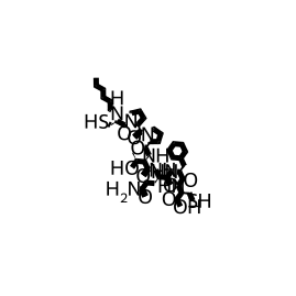 CCCCCCN[C@@H](CS)C(=O)N1CCC[C@H]1C(=O)N1CCC[C@H]1C(=O)N[C@H](C(=O)N[C@@H](CCC(N)=O)C(=O)N[C@@H](CC1CCCCC1)C(=O)N[C@@H](CS)C(=O)O)[C@@H](C)O